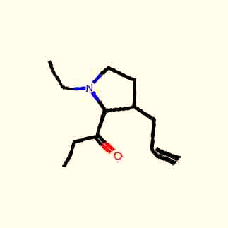 C=CCC1CCN(CC)C1C(=O)CC